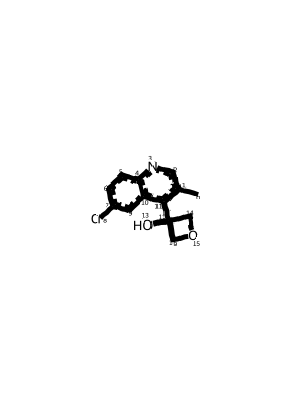 Cc1cnc2ccc(Cl)cc2c1C1(O)COC1